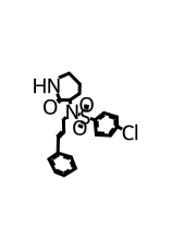 O=C1NCCCCC1N(CC=Cc1ccccc1)S(=O)(=O)c1ccc(Cl)cc1